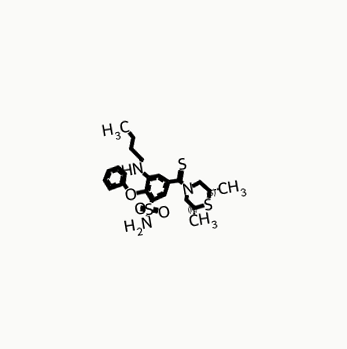 CCCCNc1cc(C(=S)N2C[C@@H](C)S[C@@H](C)C2)cc(S(N)(=O)=O)c1Oc1ccccc1